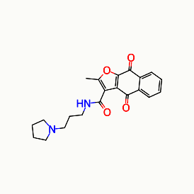 Cc1oc2c(c1C(=O)NCCCN1CCCC1)C(=O)c1ccccc1C2=O